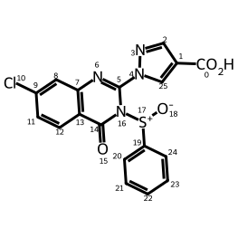 O=C(O)c1cnn(-c2nc3cc(Cl)ccc3c(=O)n2[S+]([O-])c2ccccc2)c1